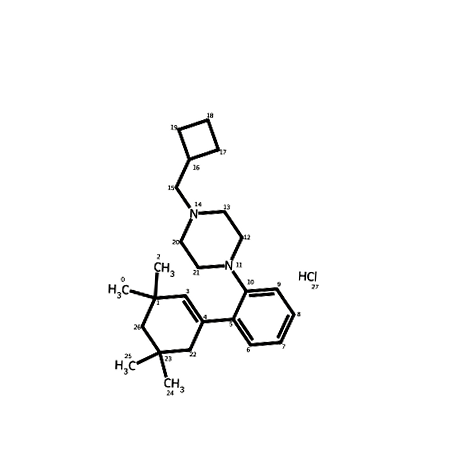 CC1(C)C=C(c2ccccc2N2CCN(CC3CCC3)CC2)CC(C)(C)C1.Cl